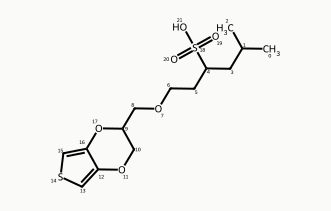 CC(C)CC(CCOCC1COc2cscc2O1)S(=O)(=O)O